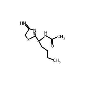 CCCC[C](NC(C)=O)C1=NC(=N)CS1